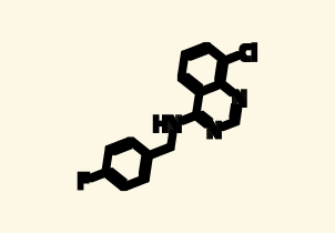 Fc1ccc(CNc2ncnc3c(Cl)cccc23)cc1